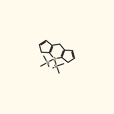 C[Si](C)(C)[Zr]1([Si](C)(C)C)[C]2=C(C=CC2)CC2=[C]1CC=C2